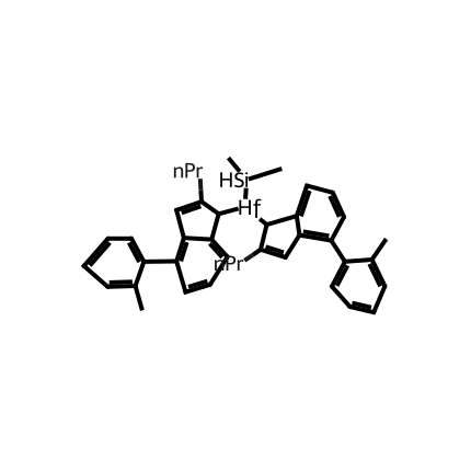 CCCC1=Cc2c(-c3ccccc3C)cccc2[CH]1[Hf]([CH]1C(CCC)=Cc2c(-c3ccccc3C)cccc21)[SiH](C)C